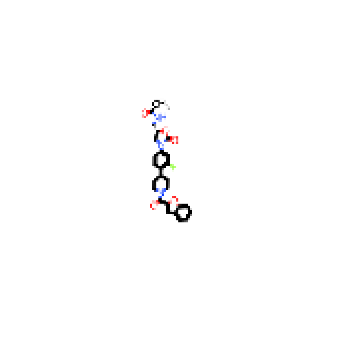 CC(=O)NC[C@H]1CN(c2ccc(C3CCN(C(=O)c4cc5ccccc5o4)CC3)c(F)c2)C(=O)O1